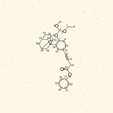 CCOC(OC)Oc1ccc(C#CCC(=O)Oc2ccccc2)cc1C12CC3CC(CC(C3)C1)C2